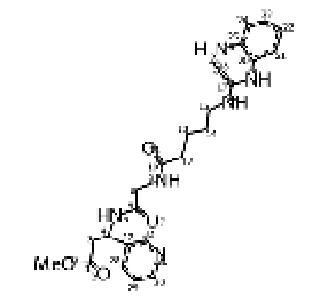 COC(=O)CC(NC(=O)CNC(=O)CCCCNC(=S)Nc1ccccc1N)c1cccnc1